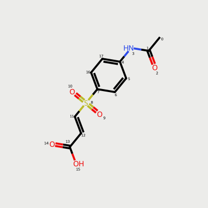 CC(=O)Nc1ccc(S(=O)(=O)C=CC(=O)O)cc1